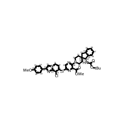 COC(=O)c1nc(Sc2ccn3cc(-c4ccc(OC)cc4)nc3c2Cl)cnc1N1CCC2(CC1)Cc1ccccc1[C@H]2NC(=O)OC(C)(C)C